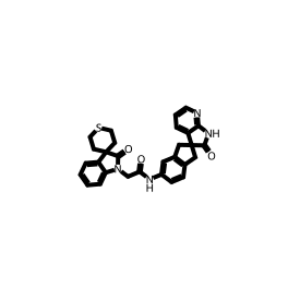 O=C(CN1C(=O)C2(CCSCC2)c2ccccc21)Nc1ccc2c(c1)CC1(C2)C(=O)Nc2ncccc21